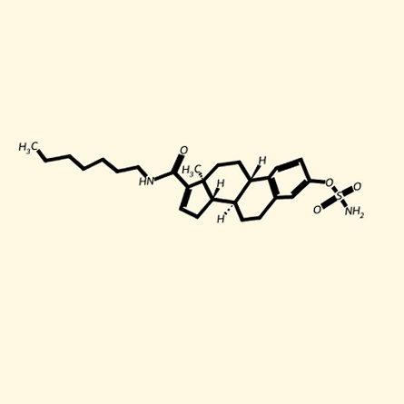 CCCCCCCNC(=O)C1=CC[C@H]2[C@@H]3CCc4cc(OS(N)(=O)=O)ccc4[C@H]3CC[C@]12C